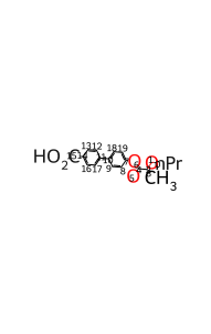 CCCOC(C)C(=O)Oc1ccc(-c2ccc(C(=O)O)cc2)cc1